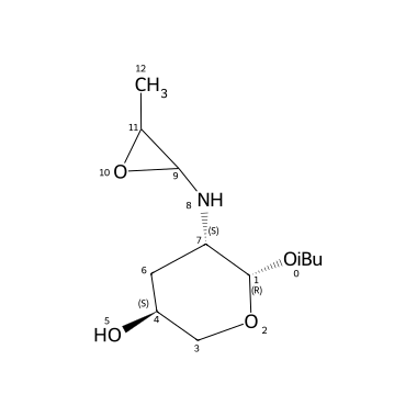 CC(C)CO[C@@H]1OC[C@@H](O)C[C@@H]1NC1OC1C